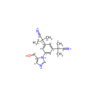 CC(C)(C#N)c1cc(-n2cncc2C=O)cc(C(C)(C)C#N)c1